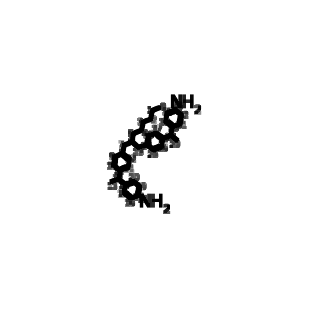 CCCCCCC(Cc1ccc(C(C)c2ccc(N)cc2)cc1)Cc1ccc(C(C)c2ccc(N)cc2)cc1